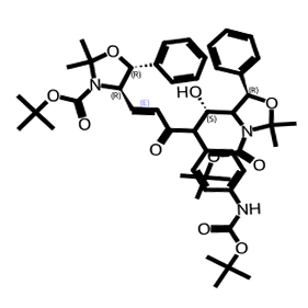 CC(C)(C)OC(=O)Nc1ccc(C(C(=O)/C=C/[C@@H]2[C@@H](c3ccccc3)OC(C)(C)N2C(=O)OC(C)(C)C)[C@H](O)C2[C@@H](c3ccccc3)OC(C)(C)N2C(=O)OC(C)(C)C)cc1